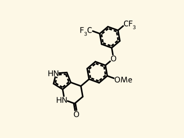 COc1cc(C2CC(=O)Nc3c[nH]cc32)ccc1Oc1cc(C(F)(F)F)cc(C(F)(F)F)c1